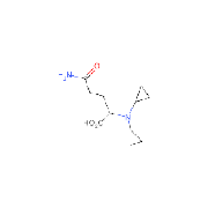 NC(=O)CC[C@@H](C(=O)O)N(C1CC1)C1CC1